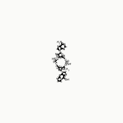 C=C1O[P@@](=O)(S)OC[C@H]2O[C@@H](n3cnc4c(N)ncnc43)[C@H](F)[C@@H]2O[P@@](=O)(S)OC[C@H]2C[C@@H](n3cnc4c(O)n5ccnc5nc43)[C@H]12